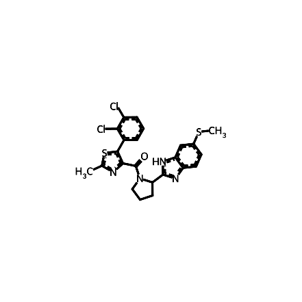 CSc1ccc2nc(C3CCCN3C(=O)c3nc(C)sc3-c3cccc(Cl)c3Cl)[nH]c2c1